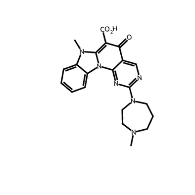 CN1CCCN(c2ncc3c(=O)c(C(=O)O)c4n(C)c5ccccc5n4c3n2)CC1